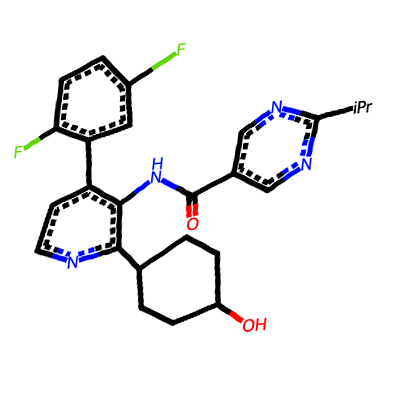 CC(C)c1ncc(C(=O)Nc2c(-c3cc(F)ccc3F)ccnc2C2CCC(O)CC2)cn1